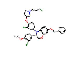 COc1ccc(C2COc3cc(OCc4ccccc4)ccc3N2c2ccc(OC3CCN(CCCF)C3)c(F)c2)cc1F